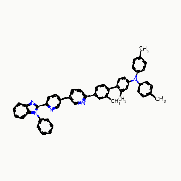 Cc1ccc(N(c2ccc(C)cc2)c2ccc(-c3ccc(-c4ccc(-c5ccc(-c6nc7ccccc7n6-c6ccccc6)nc5)cn4)cc3C)c(C)c2)cc1